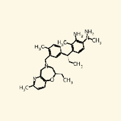 CCC1CN(Cc2cc([C@@H](CC)c3ccc(N(C)N)c(N)c3C)ccc2C)Cc2nc(C)ccc2O1